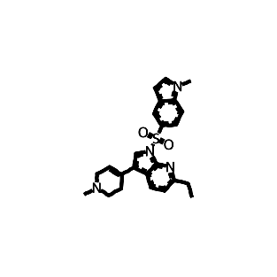 CCc1ccc2c(C3=CCN(C)CC3)cn(S(=O)(=O)c3ccc4c(ccn4C)c3)c2n1